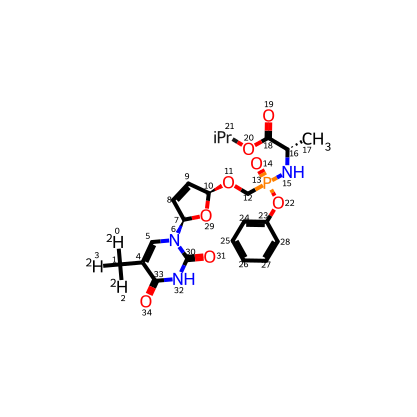 [2H]C([2H])([2H])c1cn([C@H]2C=C[C@@H](OCP(=O)(N[C@@H](C)C(=O)OC(C)C)Oc3ccccc3)O2)c(=O)[nH]c1=O